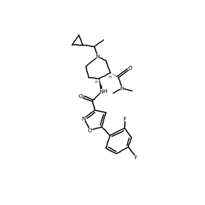 CC(C1CC1)N1CC[C@H](NC(=O)c2cc(-c3ccc(F)cc3F)on2)[C@@H](C(=O)N(C)C)C1